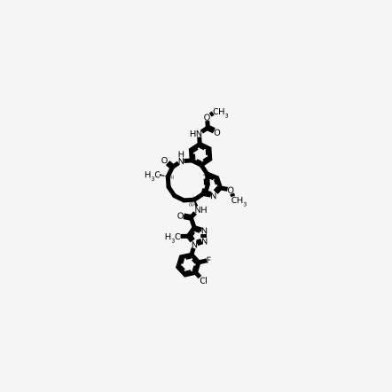 COC(=O)Nc1ccc2c(c1)NC(=O)[C@@H](C)CCC[C@H](NC(=O)c1nnn(-c3cccc(Cl)c3F)c1C)c1cc-2cc(OC)n1